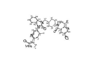 Cc1cc(N2CCNC2=O)ncc1-n1c(=O)n(CC2CCC(NC(=O)c3cc(Cl)cnc3C(F)F)CC2)c2ccccc21